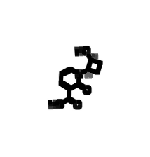 O=C(O)c1cccn([C@@H]2CC[C@@H]2O)c1=O